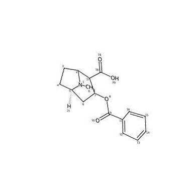 CN1C2CC[C@@H]1CC(OC(=O)c1ccccc1)C2C(=O)O